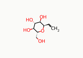 C=C[C@H]1O[C@H](CO)[C@@H](O)[C@H](O)[C@H]1O